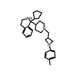 Cc1ccc(N2CC(CN3CCC(C4(C5CCCC5)NCCc5ccccc54)CC3)C2)cc1